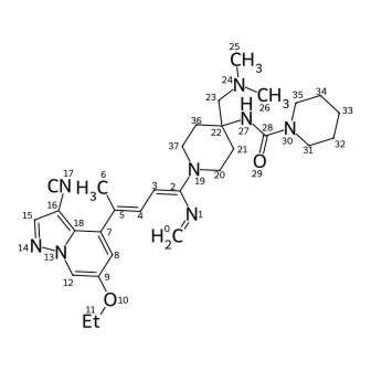 C=N/C(=C\C=C(/C)c1cc(OCC)cn2ncc(C#N)c12)N1CCC(CN(C)C)(NC(=O)N2CCCCC2)CC1